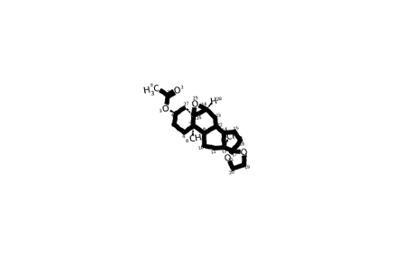 CC(=O)O[C@H]1CC[C@]2(C)C3CC[C@@]4(C)C(CCC45OCCO5)C3C[C@@H]3O[C@@]32C1